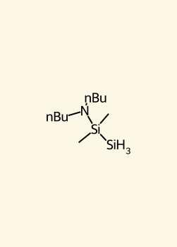 CCCCN(CCCC)[Si](C)(C)[SiH3]